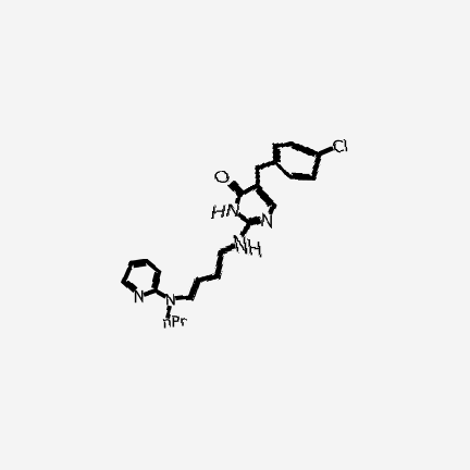 CCCN(CCCCNc1ncc(Cc2ccc(Cl)cc2)c(=O)[nH]1)c1ccccn1